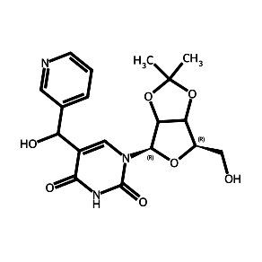 CC1(C)OC2C(O1)[C@@H](CO)O[C@H]2n1cc(C(O)c2cccnc2)c(=O)[nH]c1=O